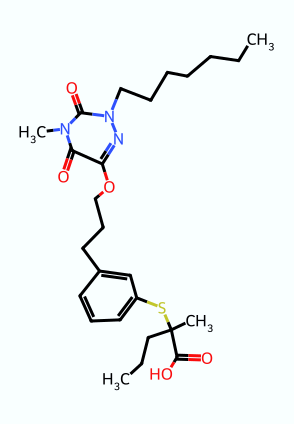 CCCCCCCn1nc(OCCCc2cccc(SC(C)(CCC)C(=O)O)c2)c(=O)n(C)c1=O